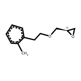 Cc1ccccc1CCOC[C@H]1CO1